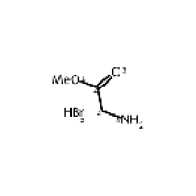 Br.COC(=O)CN